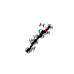 CC(=O)N(O)CCCCCNC(=O)CCC(=O)N(O)CCCCCNC(=O)CCC(=O)N(O)CCCCCNC(=O)P